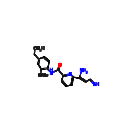 COc1cc(CC(=O)O)ccc1NC(=O)c1cccc(/C(N)=C/C=N)n1